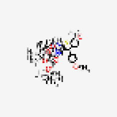 COc1ccc(C(c2ccc(OC)cc2)c2cn([C@@H]3O[C@H](CO[Si](C)(C)C(C)(C)C)[C@@H](O[Si](C)(C)C(C)(C)C)[C@H]3O[Si](C)(C)C(C)(C)C)c(=O)[nH]c2=S)cc1